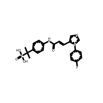 CC(C)(c1ccc(NC(=O)/C=C/c2cncn2-c2ccc(F)cc2)cc1)P(=O)(O)O